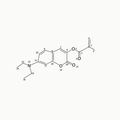 C=C(C)C(=O)Oc1cc2ccc(N(CC)CC)cc2oc1=O